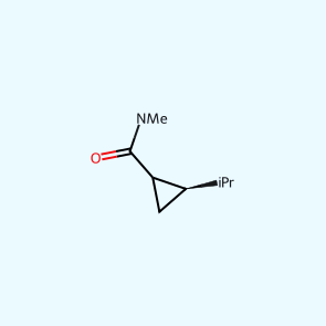 CNC(=O)C1C[C@@H]1C(C)C